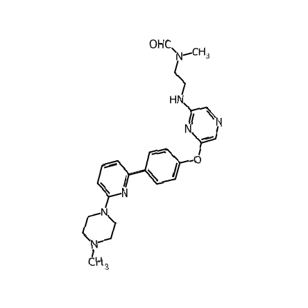 CN(C=O)CCNc1cncc(Oc2ccc(-c3cccc(N4CCN(C)CC4)n3)cc2)n1